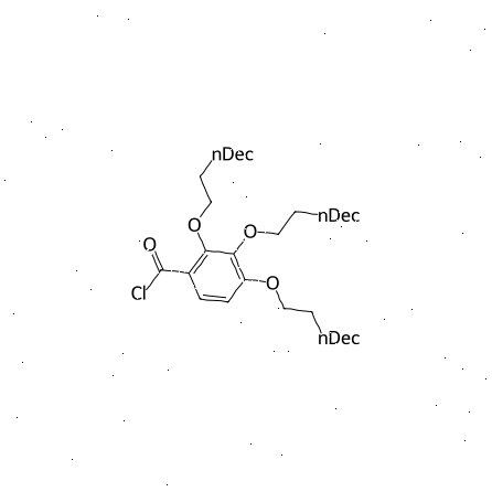 CCCCCCCCCCCCOc1ccc(C(=O)Cl)c(OCCCCCCCCCCCC)c1OCCCCCCCCCCCC